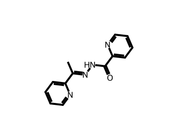 C/C(=N\NC(=O)c1ccccn1)c1ccccn1